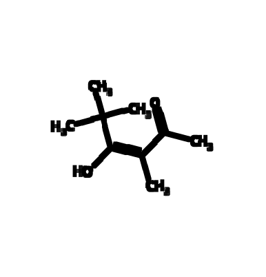 CC(=O)/C(C)=C(/O)C(C)(C)C